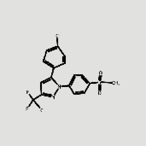 CS(=O)(=O)c1ccc(-n2nc(C(F)(F)Cl)cc2-c2ccc(Cl)cc2)cc1